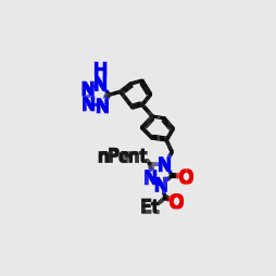 CCCCCc1nn(C(=O)CC)c(=O)n1Cc1ccc(-c2cccc(-c3nnn[nH]3)c2)cc1